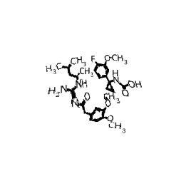 COc1cc(C2(NC(=O)O)CC2)ccc1F.COc1ccc(CC(=O)N=C(N)N[C@H](C)CC(C)C)cc1OC